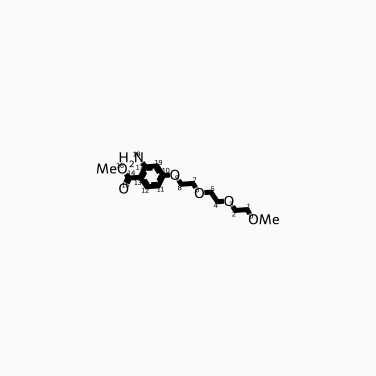 COCCOCCOCCOc1ccc(C(=O)OC)c(N)c1